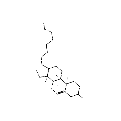 C[C@@H](CO)CCC[C@@H](C)[C@H]1CC[C@H]2[C@@H]3CC=C4CC(O)CC[C@]4(C)[C@H]3CC[C@]12C